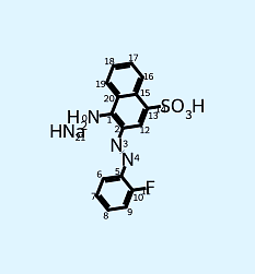 Nc1c(N=Nc2ccccc2F)cc(S(=O)(=O)O)c2ccccc12.[NaH]